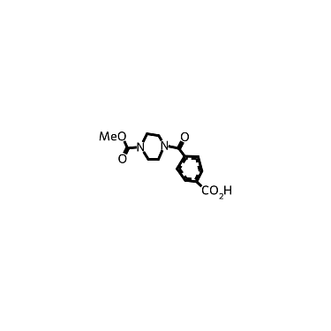 COC(=O)N1CCN(C(=O)c2ccc(C(=O)O)cc2)CC1